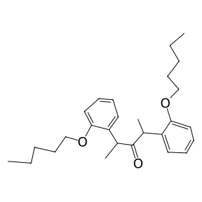 CCCCCOc1ccccc1C(C)C(=O)C(C)c1ccccc1OCCCCC